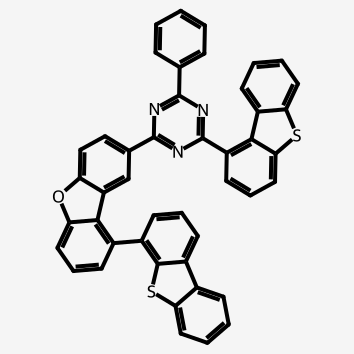 c1ccc(-c2nc(-c3ccc4oc5cccc(-c6cccc7c6sc6ccccc67)c5c4c3)nc(-c3cccc4sc5ccccc5c34)n2)cc1